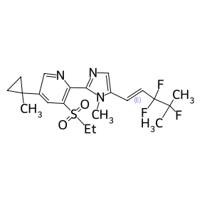 CCS(=O)(=O)c1cc(C2(C)CC2)cnc1-c1ncc(/C=C/C(F)(F)C(C)(C)F)n1C